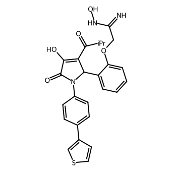 CC(C)C(=O)C1=C(O)C(=O)N(c2ccc(-c3ccsc3)cc2)C1c1ccccc1OCC(=N)NO